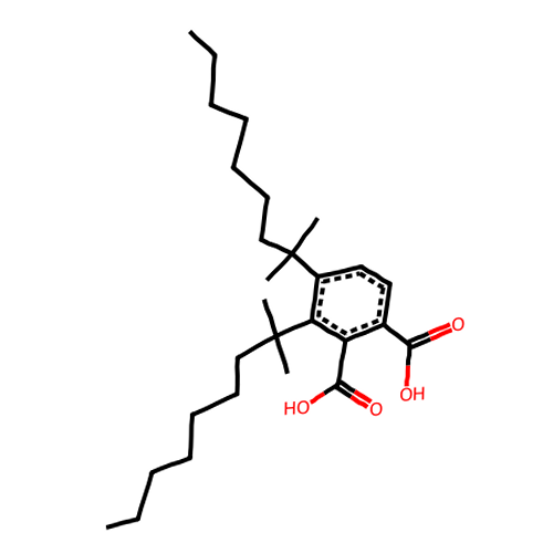 CCCCCCCC(C)(C)c1ccc(C(=O)O)c(C(=O)O)c1C(C)(C)CCCCCCC